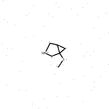 CSC12CNCC1C2